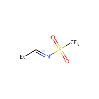 [CH2]C/[C]=N/S(=O)(=O)C(F)(F)F